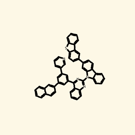 c1cncc(-c2cc(-c3ccc4ccccc4c3)cc(-c3nc(-n4c5ccccc5c5ccc(-c6ccc7sc8ccccc8c7c6)cc54)nc4ccccc34)c2)c1